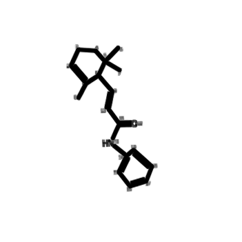 CC1=CCCC(C)(C)C1/C=C/C(=O)Nc1ccccc1